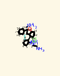 NCCNc1cccc(F)c1-c1c(Cl)ccc2c1C[C@@](CN)(c1ccccc1)O2